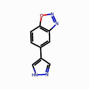 c1cc2onnc2cc1-c1cn[nH]c1